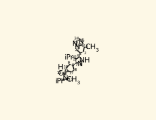 Cc1cc(-c2[nH]nc(-c3ccc([C@H](C)N(C)C(C)C)cc3)c2C(C)C)cn2ncnc12